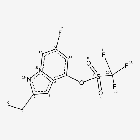 CCc1cc2c(OS(=O)(=O)C(F)(F)F)cc(F)cn2n1